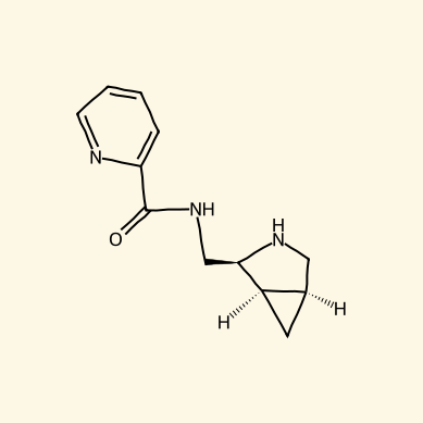 O=C(NC[C@H]1NC[C@H]2C[C@H]21)c1ccccn1